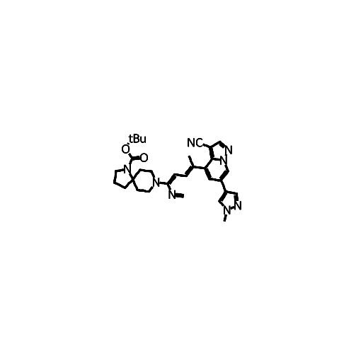 C=N/C(=C\C=C(/C)c1cc(-c2cnn(C)c2)cn2ncc(C#N)c12)N1CCC2(CCCN2C(=O)OC(C)(C)C)CC1